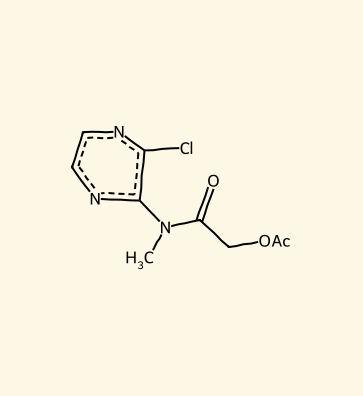 CC(=O)OCC(=O)N(C)c1nccnc1Cl